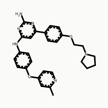 Cc1cc(Oc2ccc(Nc3cc(-c4ccc(OCCN5CCCC5)cc4)nc(N)n3)cc2)ccn1